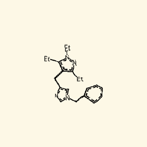 CCc1nn(CC)c(CC)c1Cc1cn(Cc2ccccc2)cn1